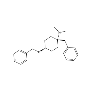 CN(C)[C@]1(Cc2ccccc2)CC[C@@H](OCc2ccccc2)CC1